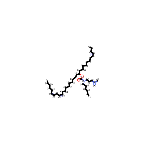 CCC/C=C\CCCCCCCC(CCCCCCCCC/C=C\C/C=C\CCCCC)OC(=O)N(CCCCCC)CCCN(C)C